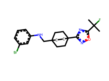 CC(C)(F)c1nc(C23CCC(CNc4cccc(Br)c4)(CC2)CC3)no1